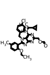 CCOc1ccc(C)cc1-c1nc2nc(COC=O)nc(N[C@H](C)C3CC3)c2n1Cc1ccc(Cl)cc1